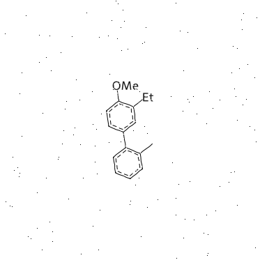 CCc1cc(-c2ccccc2C)ccc1OC